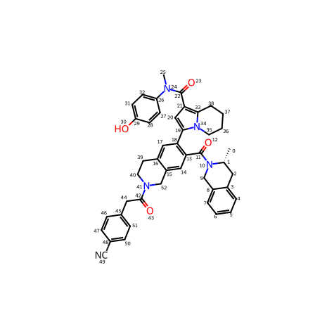 C[C@@H]1Cc2ccccc2CN1C(=O)c1cc2c(cc1-c1cc(C(=O)N(C)c3ccc(O)cc3)c3n1CCCC3)CCN(C(=O)Cc1ccc(C#N)cc1)C2